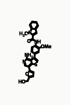 COc1cc(-c2csc3c(-c4ccc(CO)o4)cnc(N)c23)ccc1NC(=O)c1cc2ccccc2n1C